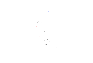 CC1=CC(=O)[C@H]2[C@@H](CCC3=CN(c4ccc(C(C)(C)C)cc4)C(=O)CC[C@@]32C)[C@@H]1CCC#N